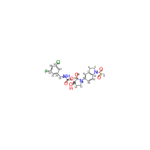 CS(=O)(=O)N1CCc2cc(N3CC[C@](O)(OC(=O)NCc4cc(F)cc(Cl)c4)C3=O)ccc21